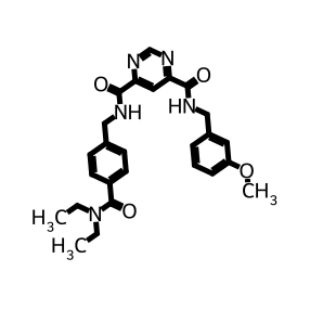 CCN(CC)C(=O)c1ccc(CNC(=O)c2cc(C(=O)NCc3cccc(OC)c3)ncn2)cc1